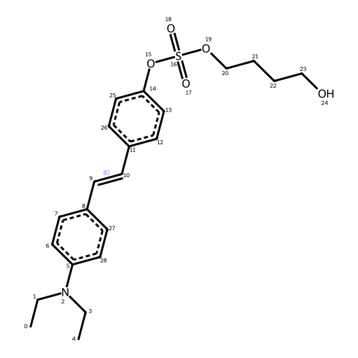 CCN(CC)c1ccc(/C=C/c2ccc(OS(=O)(=O)OCCCCO)cc2)cc1